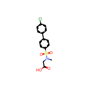 CN(CC(=O)O)S(=O)(=O)c1ccc(-c2ccc(Cl)cc2)cc1